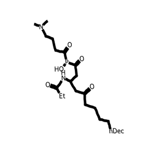 CCCCCCCCCCCCCCC(=O)CC(CC(=O)P(O)C(=O)CCCN(C)C)NC(=O)CC